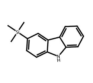 C[Si](C)(C)c1ccc2[nH]c3ccccc3c2c1